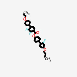 CCCCOc1ccc(-c2ccc(OC(=O)c3ccc(C4CCC(OCCC)CC4)c(F)c3F)cc2)c(F)c1